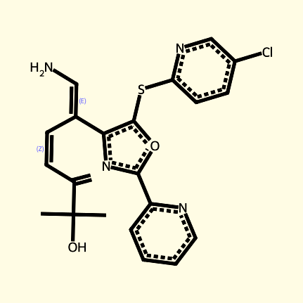 C=C(/C=C\C(=C/N)c1nc(-c2ccccn2)oc1Sc1ccc(Cl)cn1)C(C)(C)O